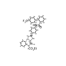 CCOC(=O)C(c1ccccc1)N(C)C1CCN(c2ccc(NC(=O)c3ccccc3-c3ccc(C(F)(F)F)cc3)cc2)C1